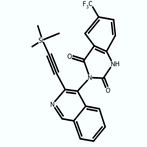 C[Si](C)(C)C#Cc1ncc2ccccc2c1-n1c(=O)[nH]c2ccc(C(F)(F)F)cc2c1=O